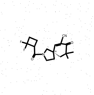 CC1(C)C[C@]2(C=C(C#N)C1=O)CCN(C(=O)C1CCC1(F)F)C2